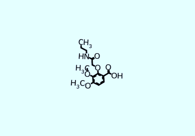 CCCNC(=O)COc1c(C(=O)O)ccc(OC)c1OC